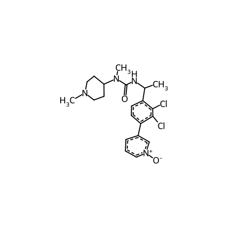 CC(NC(=O)N(C)C1CCN(C)CC1)c1ccc(-c2ccc[n+]([O-])c2)c(Cl)c1Cl